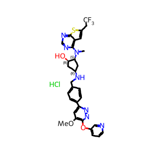 COc1cc(-c2ccc(CN[C@H]3C[C@@H](O)[C@@H](N(C)c4ncnc5sc(CC(F)(F)F)cc45)C3)cc2)nnc1Oc1cccnc1.Cl